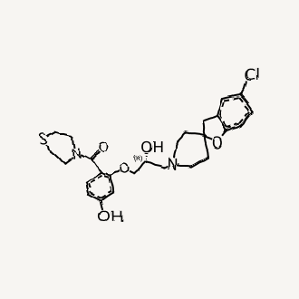 O=C(c1ccc(O)cc1OC[C@H](O)CN1CCC2(CC1)Cc1cc(Cl)ccc1O2)N1CCSCC1